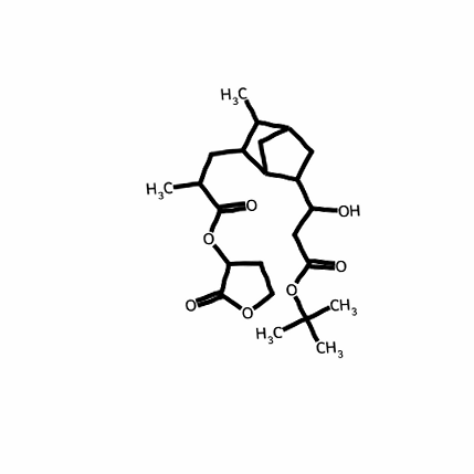 CC(CC1C(C)C2CC(C(O)CC(=O)OC(C)(C)C)C1C2)C(=O)OC1CCOC1=O